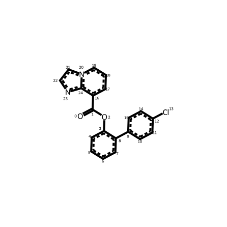 O=C(Oc1ccccc1-c1ccc(Cl)cc1)c1cccn2ccnc12